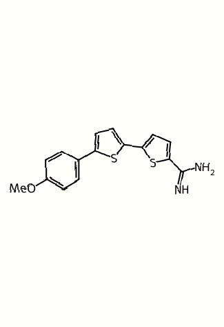 COc1ccc(-c2ccc(-c3ccc(C(=N)N)s3)s2)cc1